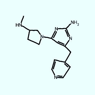 CNC1CCN(c2cc(Cc3ccncc3)nc(N)n2)C1